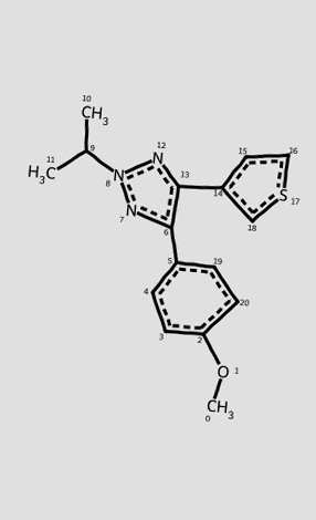 COc1ccc(-c2nn(C(C)C)nc2-c2ccsc2)cc1